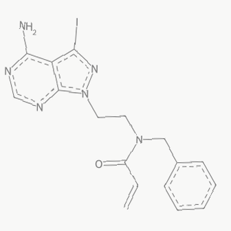 C=CC(=O)N(CCn1nc(I)c2c(N)ncnc21)Cc1ccccc1